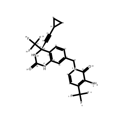 Nc1c(C(F)(F)F)ccn(Cc2ccc3c(c2)NC(=O)N[C@]3(C#CC2CC2)C(F)(F)F)c1=O